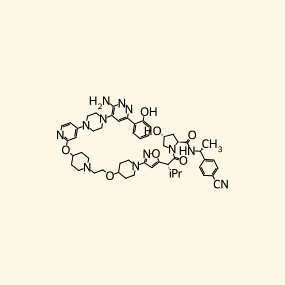 CC(C)[C@@H](C(=O)N1C[C@H](O)C[C@H]1C(=O)N[C@@H](C)c1ccc(C#N)cc1)c1cc(N2CCC(OCCN3CCC(Oc4cc(N5CCN(c6cc(-c7ccccc7O)nnc6N)CC5)ccn4)CC3)CC2)no1